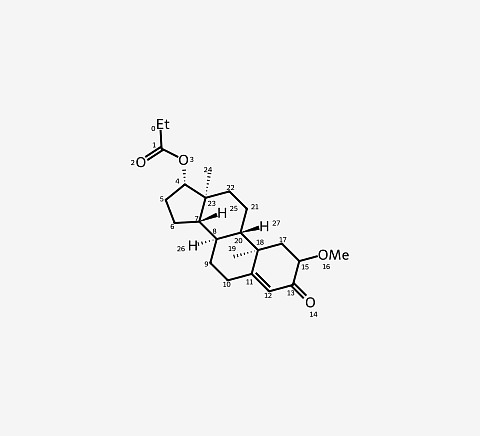 CCC(=O)O[C@H]1CC[C@H]2[C@@H]3CCC4=CC(=O)C(OC)C[C@]4(C)[C@H]3CC[C@]12C